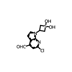 O=Cc1cc(Cl)nc2c1ccn2C1CS(O)(O)C1